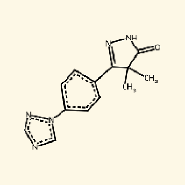 CC1(C)C(=O)NN=C1c1ccc(-n2cncn2)cc1